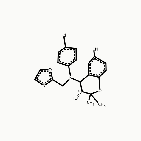 CC1(C)Oc2ccc(C#N)cc2C(N(Cc2ncco2)c2ccc(Cl)cc2)[C@H]1O